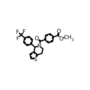 COC(=O)c1ccc(C(=O)N2CCc3sccc3C2c2ccc(C(F)(F)F)cc2)cc1